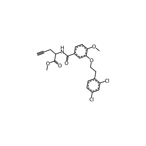 C#CCC(NC(=O)c1ccc(OC)c(OCCc2ccc(Cl)cc2Cl)c1)C(=O)OC